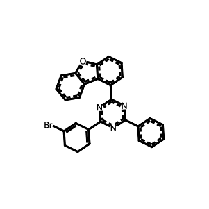 BrC1=CC(c2nc(-c3ccccc3)nc(-c3cccc4oc5ccccc5c34)n2)=CCC1